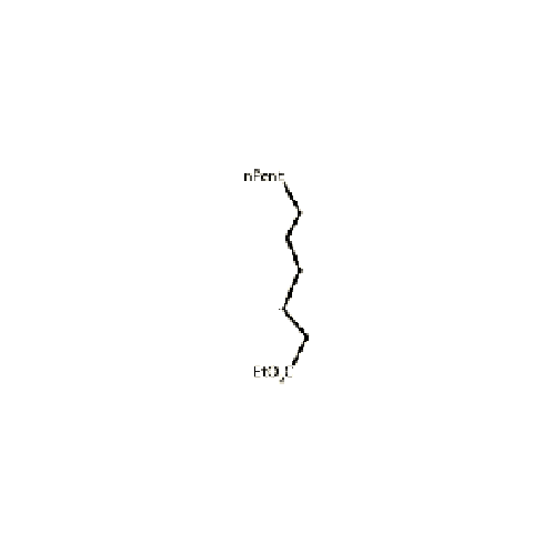 CCCCCCCC[CH]CC(=O)OCC